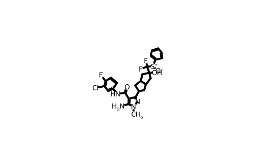 Cn1nc(C2CC3CC(O)(C(F)(F)[S+]([O-])c4ccccc4)CC3C2)c(C(=O)Nc2ccc(F)c(Cl)c2)c1N